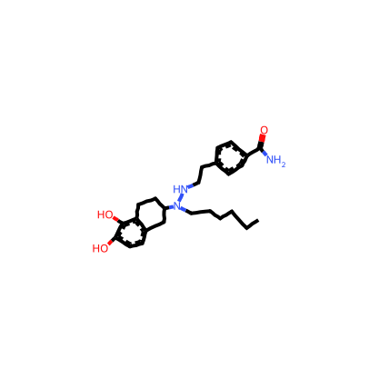 CCCCCCN(NCCc1ccc(C(N)=O)cc1)C1CCc2c(ccc(O)c2O)C1